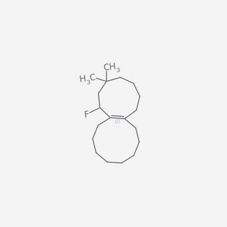 CC1(C)CCCC/C2=C(/CCCCCCCC2)C(F)C1